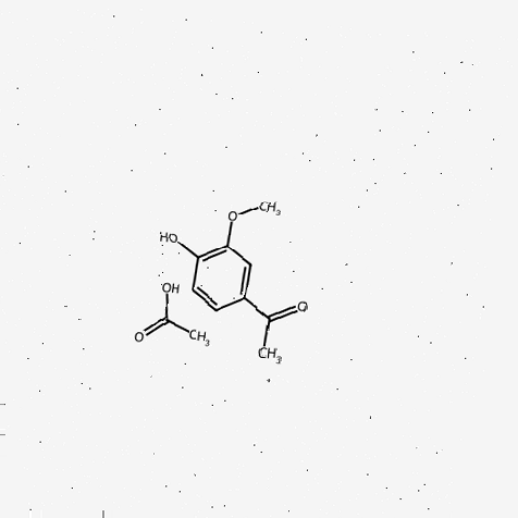 CC(=O)O.COc1cc(C(C)=O)ccc1O